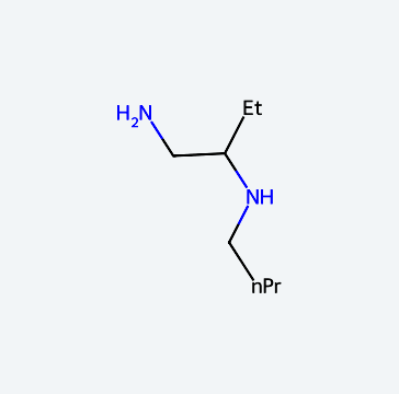 CCCCNC(CC)CN